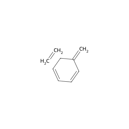 C=C.C=C1C=CC=CC1